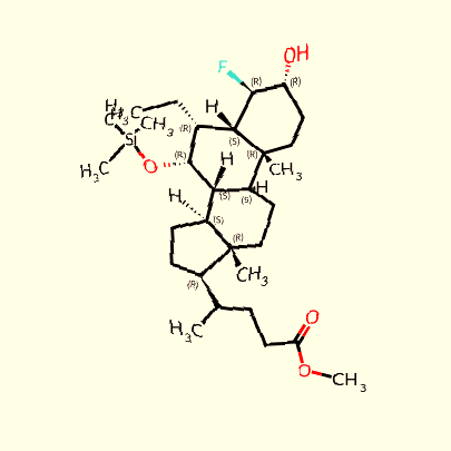 CC[C@H]1[C@@H](O[Si](C)(C)C)[C@@H]2[C@H](CC[C@]3(C)[C@@H](C(C)CCC(=O)OC)CC[C@@H]23)[C@@]2(C)CC[C@@H](O)[C@H](F)[C@@H]12